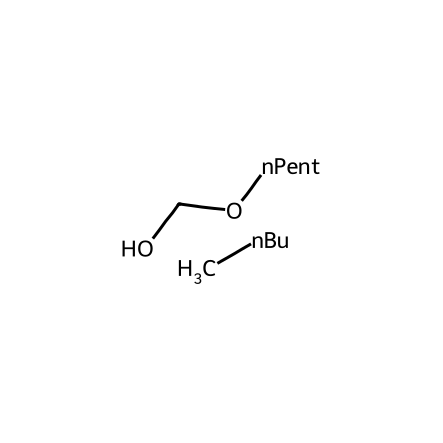 CCCCC.CCCCCOCO